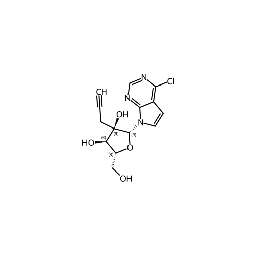 C#CC[C@@]1(O)[C@H](O)[C@@H](CO)O[C@H]1n1ccc2c(Cl)ncnc21